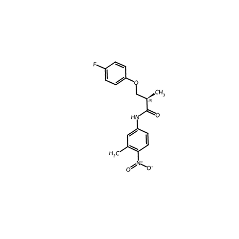 Cc1cc(NC(=O)[C@H](C)COc2ccc(F)cc2)ccc1[N+](=O)[O-]